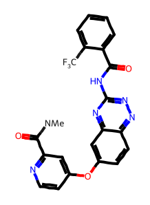 CNC(=O)c1cc(Oc2ccc3nnc(NC(=O)c4ccccc4C(F)(F)F)nc3c2)ccn1